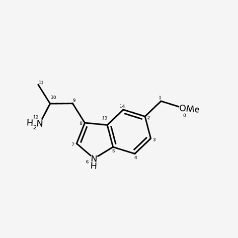 COCc1ccc2[nH]cc(CC(C)N)c2c1